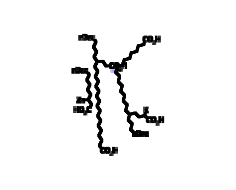 CCCCCCCCCCCCCC(CCCCCCCC/C=C\CCCCCCCC(=O)O)CC[CH]([K])C(=O)O.CCCCCCCCCCCCCCC(CCCCCCCCCCCCCCCCCC(=O)O)CCC(=O)O.CCCCCCCCCCCCCCC[CH]([Zn])CC(=O)O